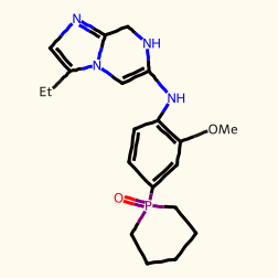 CCc1cnc2n1C=C(Nc1ccc(P3(=O)CCCCC3)cc1OC)NC2